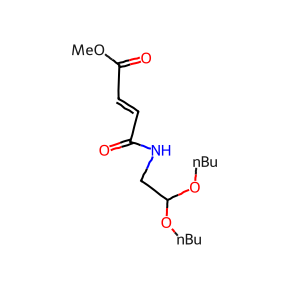 CCCCOC(CNC(=O)C=CC(=O)OC)OCCCC